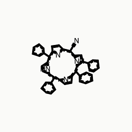 N#Cc1c2nc(c(-c3ccccc3)c3ccc([nH]3)c(-c3ccccc3)c3nc(c(-c4ccccc4)c4[nH]c1cc4-c1ccccc1)C=C3)C=C2